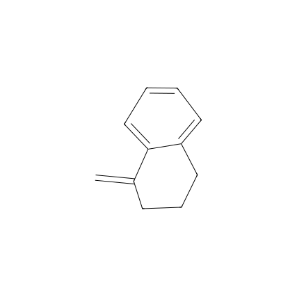 C=C1CCCc2ccccc21